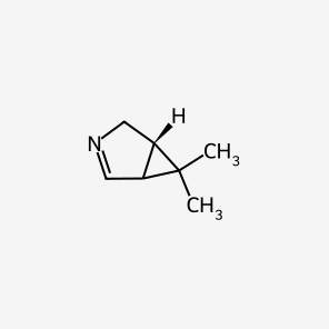 CC1(C)C2C=NC[C@@H]21